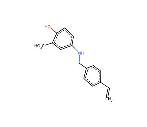 C=Cc1ccc(CNc2ccc(O)c(C(=O)O)c2)cc1